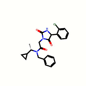 C[C@@H](C1CC1)N(Cc1ccccc1)C(=O)CN1C(=O)NC(c2ccccc2Cl)C1=O